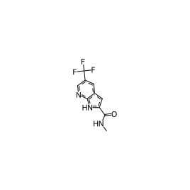 CNC(=O)c1cc2cc(C(F)(F)F)cnc2[nH]1